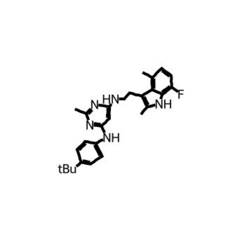 Cc1nc(NCCc2c(C)[nH]c3c(F)ccc(C)c23)cc(Nc2ccc(C(C)(C)C)cc2)n1